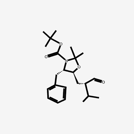 CC(C)[C@@H]([C]=O)C[C@@H]1OC(C)(C)N(C(=O)OC(C)(C)C)[C@H]1Cc1ccccc1